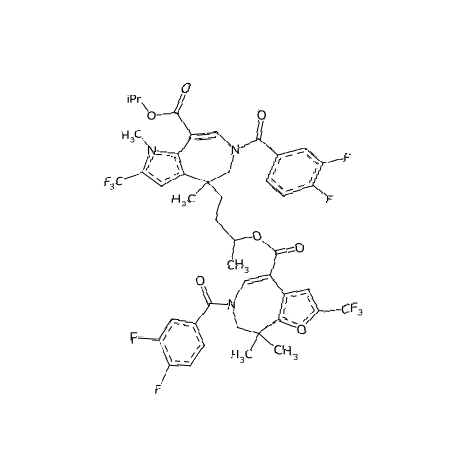 CC(C)OC(=O)C1=CN(C(=O)c2ccc(F)c(F)c2)CC(C)(CCC(C)OC(=O)C2=CN(C(=O)c3ccc(F)c(F)c3)CC(C)(C)c3oc(C(F)(F)F)cc32)c2cc(C(F)(F)F)n(C)c21